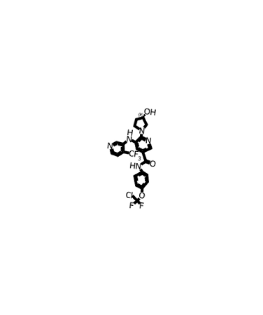 O=C(Nc1ccc(OC(F)(F)Cl)cc1)c1cnc(N2CC[C@@H](O)C2)c(Nc2cnccc2C(F)(F)F)c1